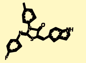 Cc1ccc(N2C(=O)C(=Cc3ccc4[nH]ccc4c3)SC2=Nc2ccc(F)cc2)cc1